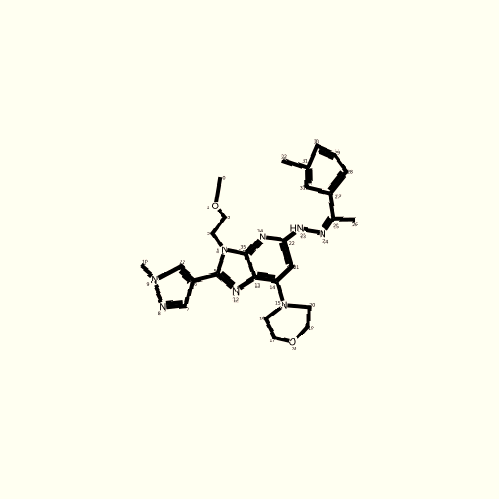 COCCn1c(-c2cnn(C)c2)nc2c(N3CCOCC3)cc(NN=C(C)c3cccc(C)c3)nc21